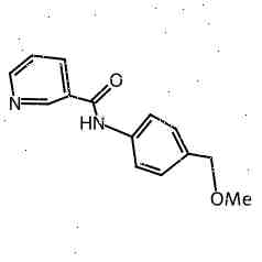 COCc1ccc(NC(=O)c2cccnc2)cc1